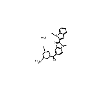 CCn1c(-c2nc3cc(C(=O)N4CC(C)CC(N)C4)ccc3n2C)cc2ccccc21.Cl